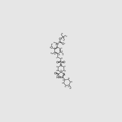 COc1c(N(C)C(=O)OC(C)(C)C)cc(C)c(CCS(=O)(=O)N2CCC3(CC2)N=C(C2CCC(C)CC2)NC3=O)c1C